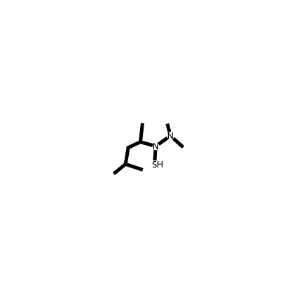 CC(C)CC(C)N(S)N(C)C